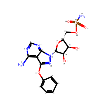 Nc1ncnc2c1c(Oc1ccccc1)nn2[C@@H]1O[C@H](COS(N)(=O)=O)[C@@H](O)[C@H]1O